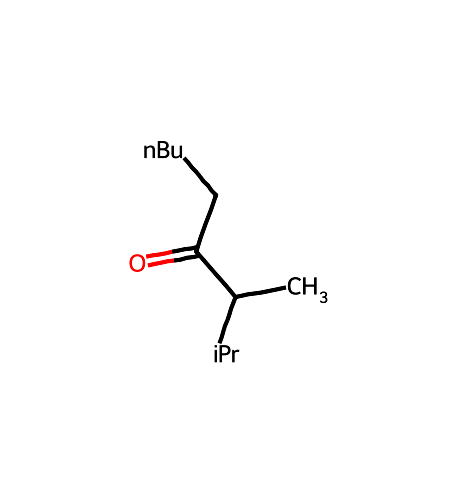 CCCCCC(=O)C(C)C(C)C